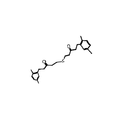 Cc1ccc(C)c(CCC(=O)CCSCCC(=O)CCc2cc(C)ccc2C)c1